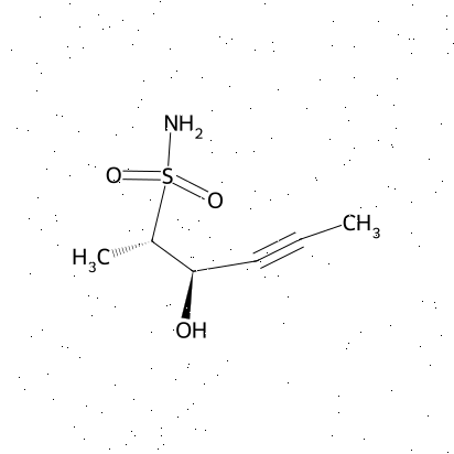 CC#C[C@@H](O)[C@H](C)S(N)(=O)=O